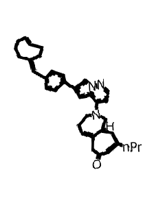 CCCC1=CC(=O)CC2=CCCN(c3ccnn4cc(-c5ccc(/C=C6\CC/C=C/CCC6)cc5)cc34)C[C@@H]2C1